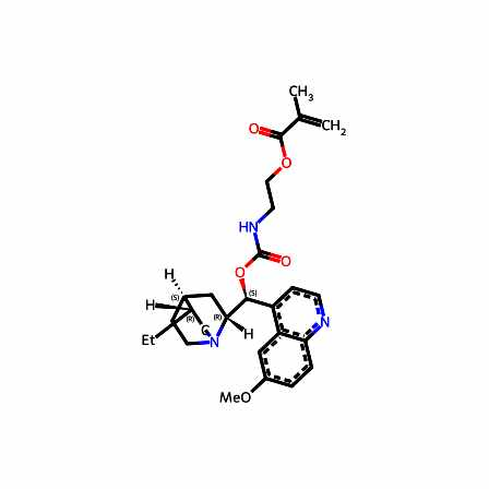 C=C(C)C(=O)OCCNC(=O)O[C@@H](c1ccnc2ccc(OC)cc12)[C@H]1C[C@@H]2CCN1C[C@@H]2CC